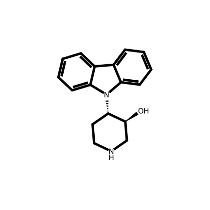 O[C@H]1CNCC[C@@H]1n1c2ccccc2c2ccccc21